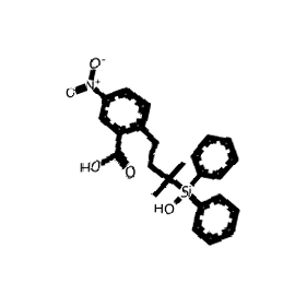 CC(C)(CCc1ccc([N+](=O)[O-])cc1C(=O)O)[Si](O)(c1ccccc1)c1ccccc1